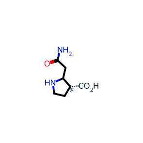 NC(=O)CC1NCC[C@H]1C(=O)O